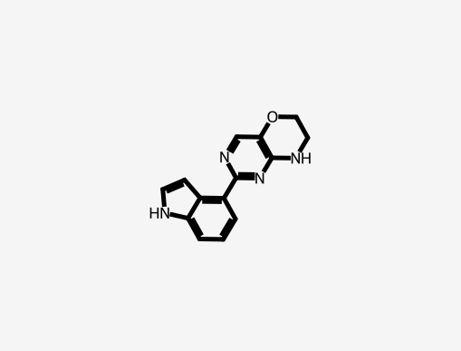 c1cc(-c2ncc3c(n2)NCCO3)c2cc[nH]c2c1